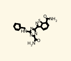 NC(=O)C1=CC=CC2C(c3nc(NCc4ccccc4)nc(C(N)=O)n3)=NSC12